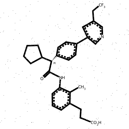 Cc1c(CCC(=O)O)cccc1NC(=O)[C@@H](c1ccc(-c2cncc(CC(F)(F)F)c2)cc1)C1CCCC1